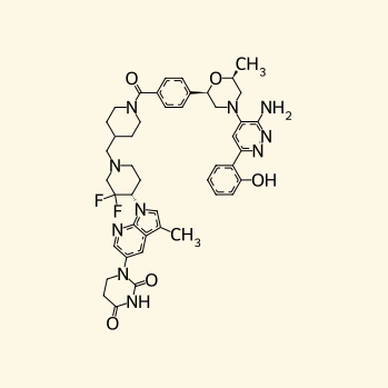 Cc1cn([C@H]2CCN(CC3CCN(C(=O)c4ccc([C@@H]5CN(c6cc(-c7ccccc7O)nnc6N)C[C@H](C)O5)cc4)CC3)CC2(F)F)c2ncc(N3CCC(=O)NC3=O)cc12